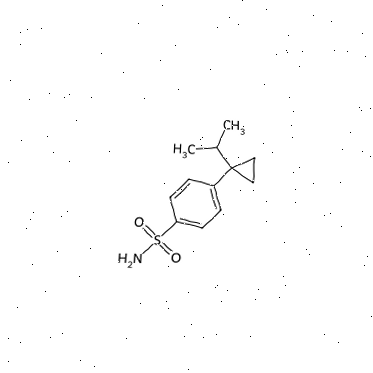 CC(C)C1(c2ccc(S(N)(=O)=O)cc2)CC1